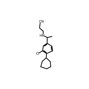 CC(NCCC#N)c1ccc(C2CCCCC2)c(Cl)c1